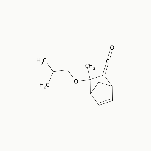 CC(C)COC1(C)C(=C=O)C2C=CC1C2